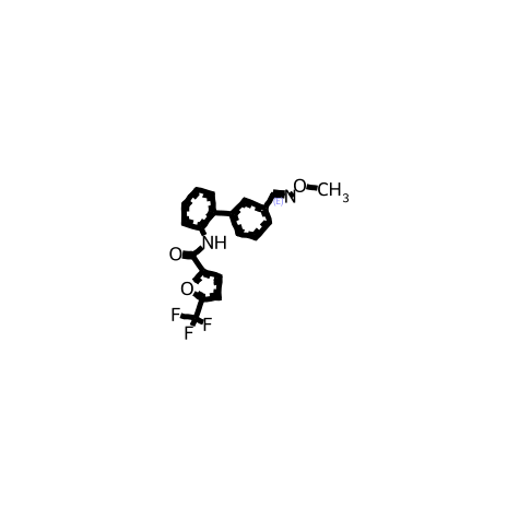 CO/N=C/c1cccc(-c2ccccc2NC(=O)c2ccc(C(F)(F)F)o2)c1